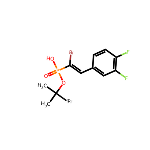 CC(C)C(C)(C)OP(=O)(O)C(Br)=Cc1ccc(F)c(F)c1